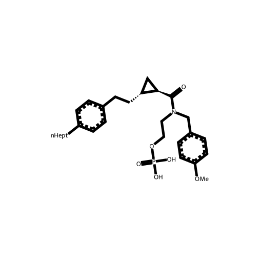 CCCCCCCc1ccc(CC[C@@H]2C[C@H]2C(=O)N(CCOP(=O)(O)O)Cc2ccc(OC)cc2)cc1